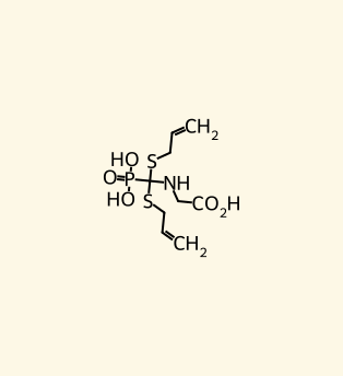 C=CCSC(NCC(=O)O)(SCC=C)P(=O)(O)O